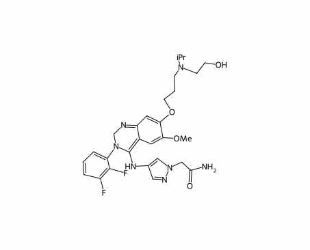 COc1cc2c(cc1OCCCN(CCO)C(C)C)=NCN(c1cccc(F)c1F)C=2Nc1cnn(CC(N)=O)c1